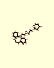 c1ccc2c(c1)CCCc1ccccc1N2CCOCCOC1CCCCO1